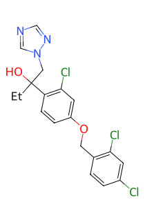 CCC(O)(Cn1cncn1)c1ccc(OCc2ccc(Cl)cc2Cl)cc1Cl